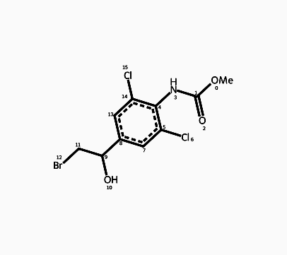 COC(=O)Nc1c(Cl)cc(C(O)CBr)cc1Cl